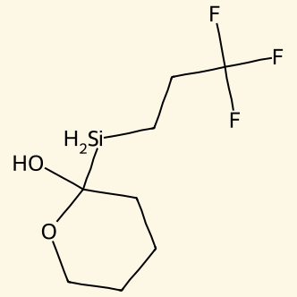 OC1([SiH2]CCC(F)(F)F)CCCCO1